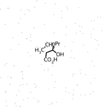 CC.CCCC(O)CC(=O)O